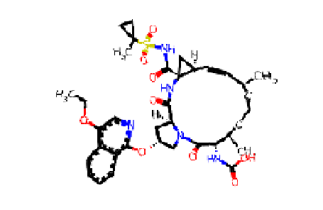 CCOc1cnc(O[C@@H]2C[C@H]3C(=O)N[C@]4(C(=O)NS(=O)(=O)C5(C)CC5)C[C@H]4C=C[C@@H](C)CCC[C@@H](C)[C@H](NC(=O)O)C(=O)N3C2)c2ccccc12